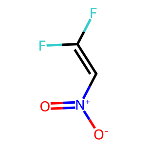 O=[N+]([O-])C=C(F)F